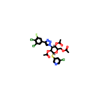 CC(=O)OCC1O[C@H](Sc2cncc(Cl)c2)C(OC(C)=O)C(n2cc(-c3cc(F)c(Cl)c(Cl)c3)nn2)[C@H]1OC(C)=O